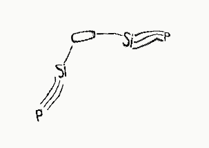 P#[Si]O[Si]#P